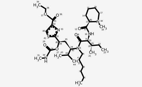 CCCCCCN(C(=O)[C@@H](NC(=O)[C@H]1CCCCN1C)[C@@H](C)CC)[C@H](C[C@@H](OC(=O)NC)c1nc(C(=O)OCC)cs1)C(C)C